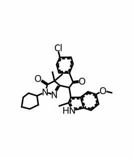 COc1ccc2[nH]c(C)c(C(C(=O)c3ccc(Cl)cc3)C3=NN(C4CCCCC4)C(=O)C3(C)C)c2c1